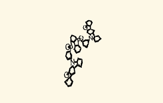 O=P1(c2cccc(-n3c4ccccc4c4cc5c(cc43)oc3ccccc35)c2)c2cccc3c2-c2c1cccc2P3(=O)c1cccc(-n2c3ccccc3c3cc4c(cc32)oc2ccccc24)c1